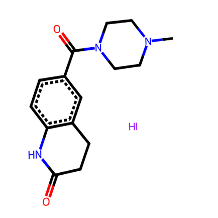 CN1CCN(C(=O)c2ccc3c(c2)CCC(=O)N3)CC1.I